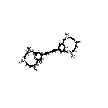 CC(=O)N1CCN(C(C)=O)CC23N=C(C=C(C#CC#CC4=CC5=NC6(CN(C(C)=O)CCN(C(C)=O)CC[15N](C(C)=O)C5)OC46)C2O3)C[15N](C(C)=O)CC1